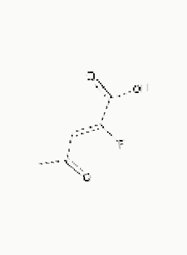 CC(=O)/C=C(\F)C(=O)O